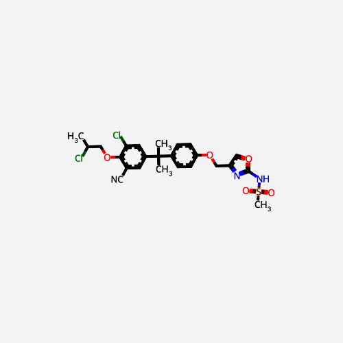 CC(Cl)COc1c(Cl)cc(C(C)(C)c2ccc(OCc3coc(NS(C)(=O)=O)n3)cc2)cc1C#N